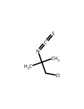 CC(C)(CCl)N=C=S